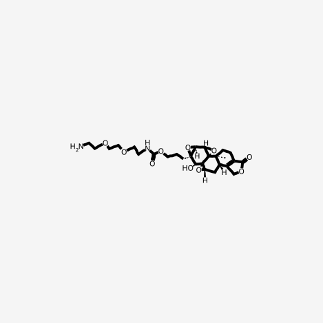 C[C@]12CCC3=C(COC3=O)[C@@H]1C[C@@H]1O[C@@]13[C@H](O)[C@@]1(CCCOC(=O)NCCOCCOCCN)O[C@H]1[C@@H]1O[C@@]132